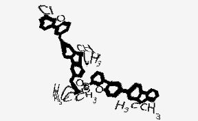 CC1(C)c2ccccc2-c2ccc(-c3ccc4oc5c(B6OC(C)(C)C(C)(Cc7ccc8c(c7)-c7ccc(-c9ccc%10oc%11c(Cl)cccc%11c%10c9)cc7C8(C)C)O6)cccc5c4c3)cc21